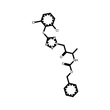 CC(NC(=O)OCc1ccccc1)C(=O)Cn1nnc(Sc2c(Cl)cccc2Cl)n1